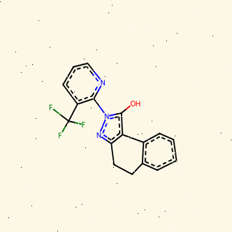 Oc1c2c(nn1-c1ncccc1C(F)(F)F)CCc1ccccc1-2